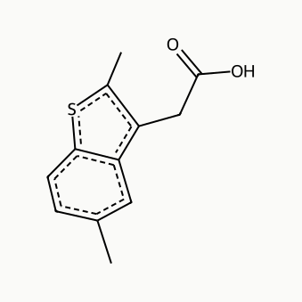 Cc1ccc2sc(C)c(CC(=O)O)c2c1